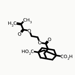 C=C(C)C(=O)OCCOC(=O)C12CC3CC(C(=O)O)(CC(C(=O)O)(C3)C1)C2